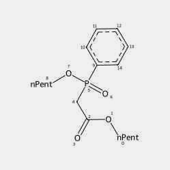 CCCCCOC(=O)CP(=O)(OCCCCC)c1ccccc1